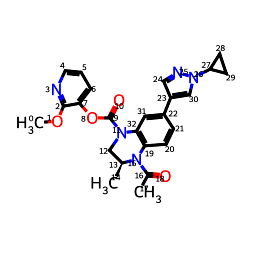 COc1ncccc1OC(=O)N1C[C@H](C)N(C(C)=O)c2ccc(-c3cnn(C4CC4)c3)cc21